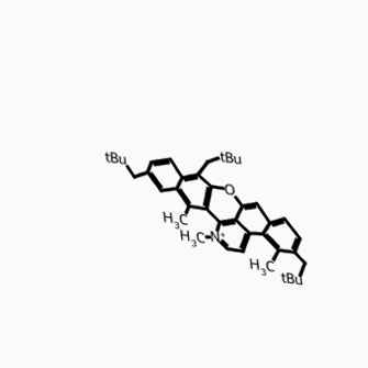 Cc1c2c(c(CC(C)(C)C)c3ccc(CC(C)(C)C)cc13)Oc1cc3ccc(CC(C)(C)C)c(C)c3c3cc[n+](C)c-2c13